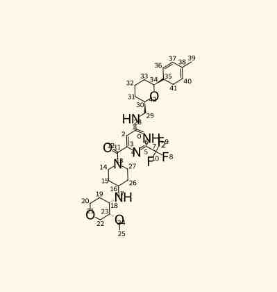 C=C(/C=C(\N=C(/N)C(F)(F)F)C(=O)N1CCC(N[C@H]2CCOC[C@H]2OC)CC1)NC[C@H]1CCC[C@@H](C2C=CC(C)=CC2)O1